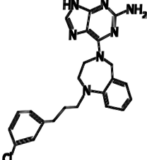 Nc1nc(N2CCN(CCCc3cccc(Cl)c3)c3ccccc3C2)c2nc[nH]c2n1